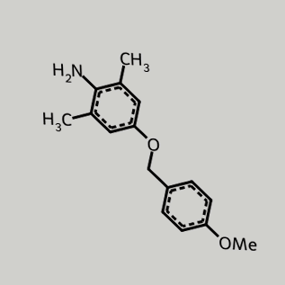 COc1ccc(COc2cc(C)c(N)c(C)c2)cc1